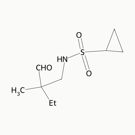 CCC(C)(C=O)CNS(=O)(=O)C1CC1